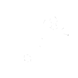 C=C(C)c1cccc2c(C(=O)C=N)cn(CCCN3CCN(CCOc4ccc(Cl)cc4)CC3)c12